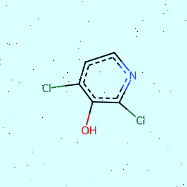 Oc1c(Cl)ccnc1Cl